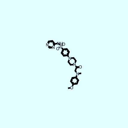 COc1ccc(N(C)CC(=O)N2CCN(c3ccc(S(=O)(=O)Nc4ccncn4)cc3)CC2)cc1